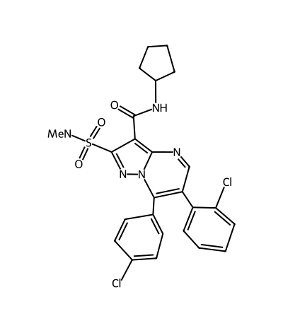 CNS(=O)(=O)c1nn2c(-c3ccc(Cl)cc3)c(-c3ccccc3Cl)cnc2c1C(=O)NC1CCCC1